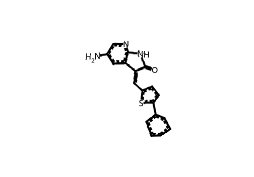 Nc1cnc2c(c1)C(=Cc1ccc(-c3ccccc3)s1)C(=O)N2